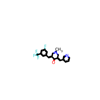 CN1C/C(=C\c2cccnc2)C(=O)/C(=C/c2cc(F)cc(C(F)(F)F)c2)C1